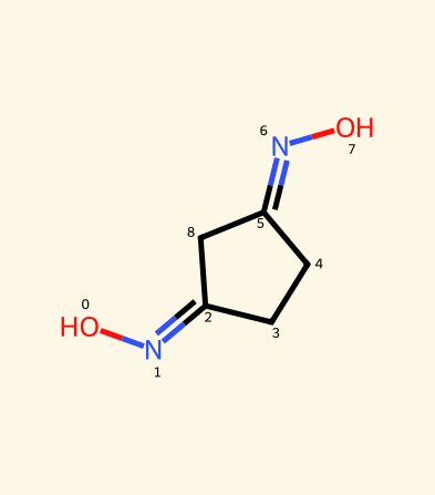 O/N=C1/CC/C(=N\O)C1